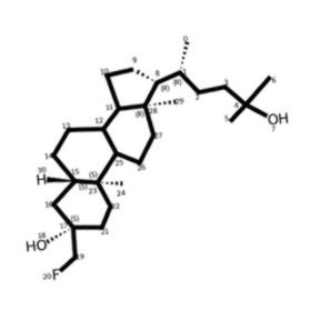 C[C@H](CCC(C)(C)O)[C@H]1CCC2C3CC[C@H]4C[C@](O)(CF)CC[C@]4(C)C3CC[C@@]21C